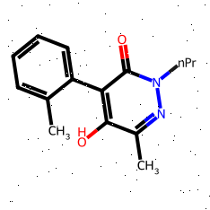 CCCn1nc(C)c(O)c(-c2ccccc2C)c1=O